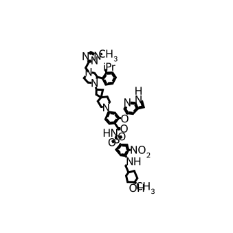 CC(C)c1ccccc1C1CN(Cc2ncn(C)n2)CCN1C1CC2(CCN(c3ccc(C(=O)NS(=O)(=O)c4ccc(NCC5CCC(C)(O)CC5)c([N+](=O)[O-])c4)c(Oc4cnc5[nH]ccc5c4)c3)CC2)C1